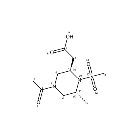 CC(=O)N1C[C@@H](CC(=O)O)N(S(C)(=O)=O)[C@H](C)C1